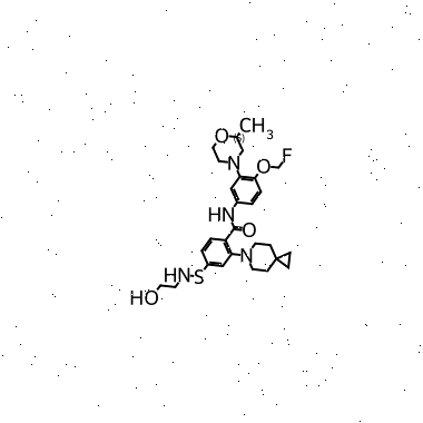 C[C@H]1CN(c2cc(NC(=O)c3ccc(SNCCO)cc3N3CCC4(CC3)CC4)ccc2OCF)CCO1